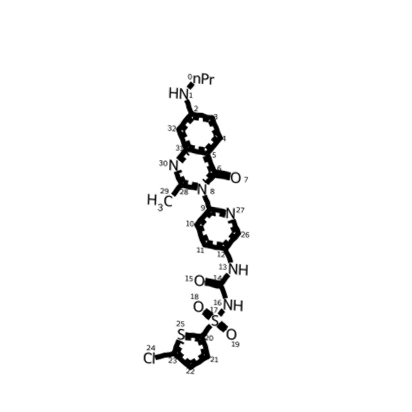 CCCNc1ccc2c(=O)n(-c3ccc(NC(=O)NS(=O)(=O)c4ccc(Cl)s4)cn3)c(C)nc2c1